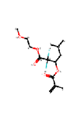 C=C(C)C(=O)OC(CC(C)C)C(F)(F)C(=O)OCCOC